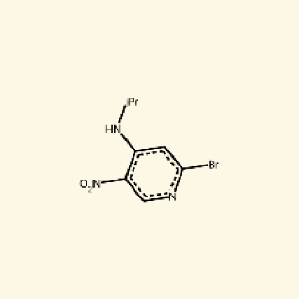 CC(C)Nc1cc(Br)ncc1[N+](=O)[O-]